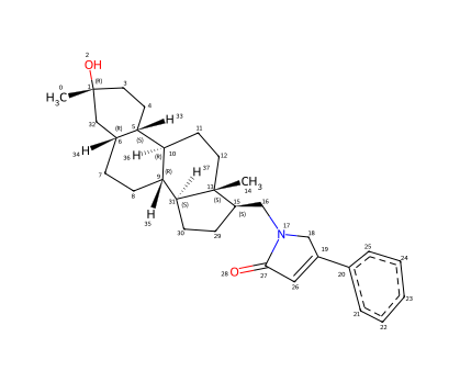 C[C@@]1(O)CC[C@H]2[C@H](CC[C@@H]3[C@@H]2CC[C@]2(C)[C@@H](CN4CC(c5ccccc5)=CC4=O)CC[C@@H]32)C1